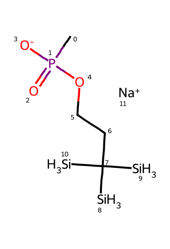 CP(=O)([O-])OCCC([SiH3])([SiH3])[SiH3].[Na+]